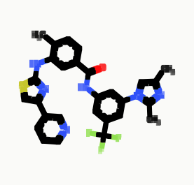 Cc1cn(-c2cc(NC(=O)c3ccc(C)c(Nc4nc(-c5cccnc5)cs4)c3)cc(C(F)(F)F)c2)c(C)n1